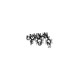 COc1ncc(NC2=C(C(=N)c3cnn(CC4CCN(C)CC4)c3)CCOCC2)cc1CF